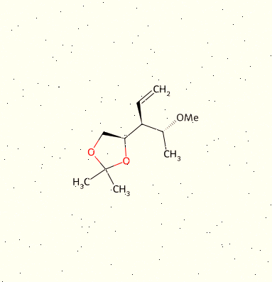 C=C[C@H]([C@@H]1COC(C)(C)O1)[C@@H](C)OC